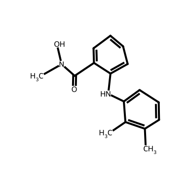 Cc1cccc(Nc2ccccc2C(=O)N(C)O)c1C